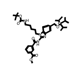 COC(=O)c1cccc(C(=O)Nc2nc3cc(CO[Si](C(C)C)(C(C)C)C(C)C)ccc3n2CCCCCNC(=O)OC(C)(C)C)c1